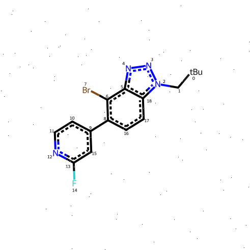 CC(C)(C)Cn1nnc2c(Br)c(-c3ccnc(F)c3)ccc21